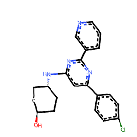 O[C@H]1CC[C@H](Nc2cc(-c3ccc(Cl)cc3)nc(-c3cccnc3)n2)CC1